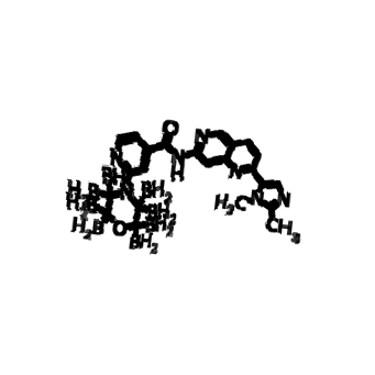 BC1(B)OC(B)(B)C(B)(B)N(c2cc(C(=O)Nc3cc4nc(-c5cnc(C)n5C)ccc4cn3)ccn2)C1(B)B